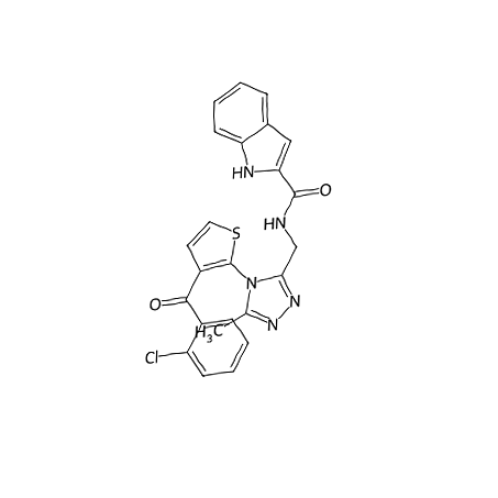 Cc1nnc(CNC(=O)c2cc3ccccc3[nH]2)n1-c1sccc1C(=O)c1ccccc1Cl